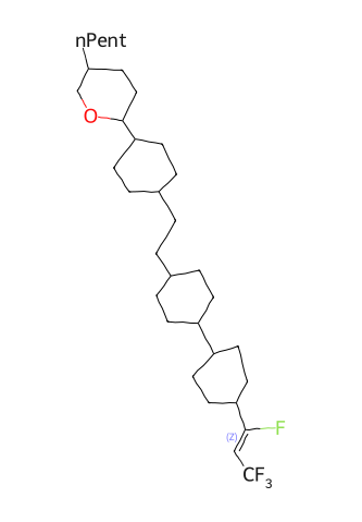 CCCCCC1CCC(C2CCC(CCC3CCC(C4CCC(/C(F)=C/C(F)(F)F)CC4)CC3)CC2)OC1